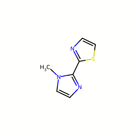 Cn1ccnc1-c1nccs1